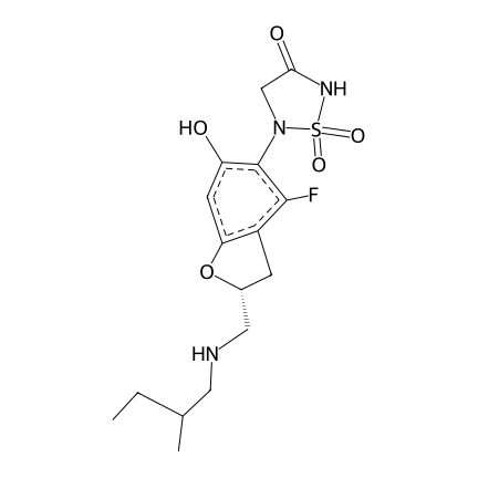 CCC(C)CNC[C@H]1Cc2c(cc(O)c(N3CC(=O)NS3(=O)=O)c2F)O1